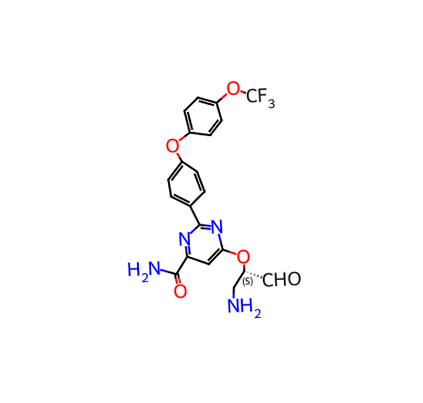 NC[C@@H](C=O)Oc1cc(C(N)=O)nc(-c2ccc(Oc3ccc(OC(F)(F)F)cc3)cc2)n1